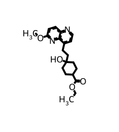 CCOC(=O)C1CCC(O)(CCc2ccnc3ccc(OC)nc23)CC1